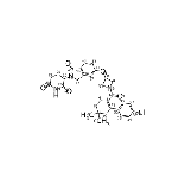 CC1(C)CCC(C(=O)N2CC(Oc3ccc4c(c3)CN(C3CCC(=O)NC3=O)C4=O)C2)=C(c2ccc(Cl)cc2)C1